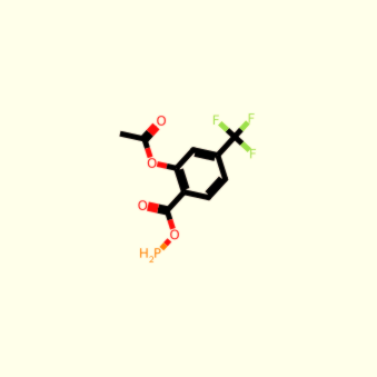 CC(=O)Oc1cc(C(F)(F)F)ccc1C(=O)OP